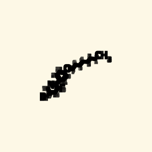 CCCCCCCCOc1ccc(-c2ncc(Br)cc2F)cc1